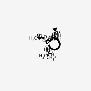 Cc1cc(C(=O)O[C@@H]2C[C@H]3C(=O)N[C@]4(C(=O)NS(=O)(=O)C5CC5)C[C@H]4/C=C\CCCCC[C@H](NC(=O)OC(C)(C)C)C(=O)N3C2)no1